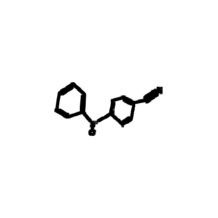 N#Cc1c[c]c([S+]([O-])c2ccccc2)cc1